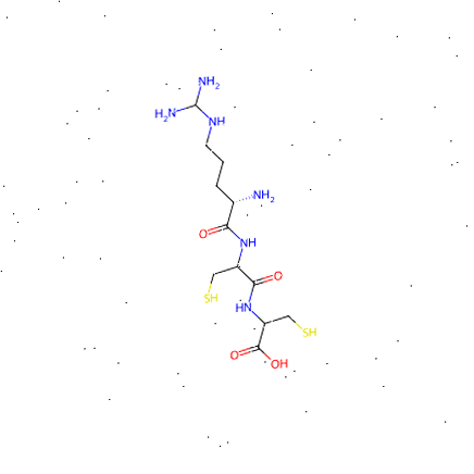 NC(N)NCCC[C@H](N)C(=O)NC(CS)C(=O)NC(CS)C(=O)O